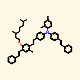 Cc1ccc(N(c2ccc(/C=C/c3ccccc3)cc2)c2ccc(/C=C/c3cc(OCCC(C)CCCC(C)C)c(/C=C/c4ccccc4)cc3C)cc2)c(C)c1